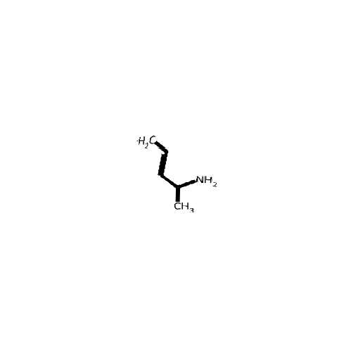 [CH2]C=CC(C)N